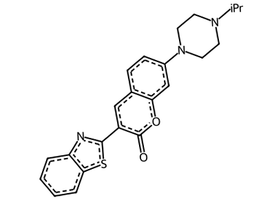 CC(C)N1CCN(c2ccc3cc(-c4nc5ccccc5s4)c(=O)oc3c2)CC1